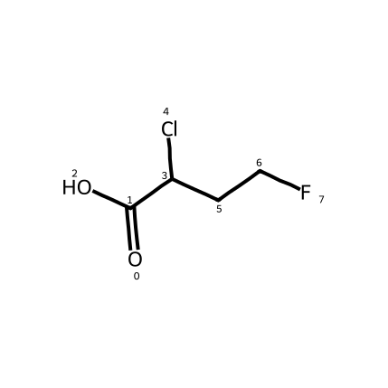 O=C(O)C(Cl)CCF